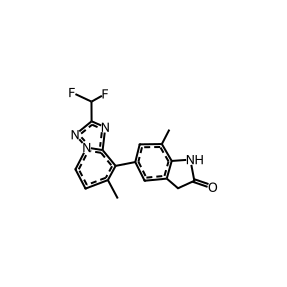 Cc1cc(-c2c(C)ccn3nc(C(F)F)nc23)cc2c1NC(=O)C2